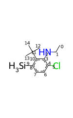 CCNc1c(Cl)ccc([SiH3])c1C(C)(C)C